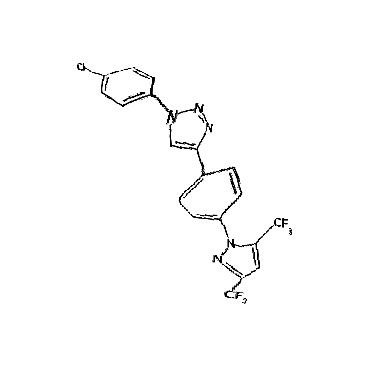 FC(F)(F)c1cc(C(F)(F)F)n(-c2ccc(-c3cn(-c4ccc(Cl)cc4)nn3)cc2)n1